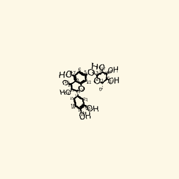 C[C@@H]1O[C@@H](Oc2cc(O)c3c(c2)O[C@H](c2ccc(O)c(O)c2)[C@@H](O)C3=O)[C@H](O)[C@H](O)[C@H]1O